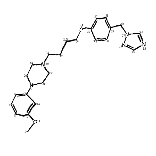 COc1cccc(N2CCN(CCCCOc3ccc(Cn4cncn4)cc3)CC2)c1